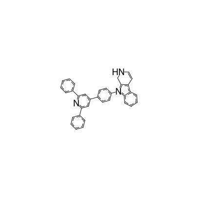 C1=Cc2c(n(-c3ccc(-c4cc(-c5ccccc5)nc(-c5ccccc5)c4)cc3)c3ccccc23)CN1